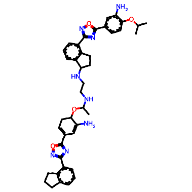 CC(C)Oc1ccc(-c2nc(-c3cccc4c3CCC4NCCNC(C)OC3CC=C(c4nc(-c5cccc6c5CCC6)no4)C=C3N)no2)cc1N